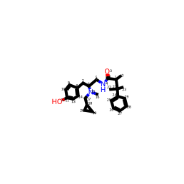 CC(C(=O)NCC(Cc1ccc(O)cc1)N(C)CC1CC1)C(C)(C)c1ccccc1